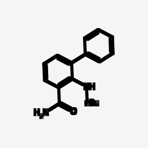 CCCCNc1c(C(N)=O)cccc1-c1ccccc1